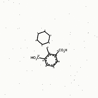 C1CCCCC1.Cc1c(C(=O)O)cccc1C(=O)O